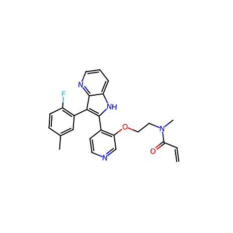 C=CC(=O)N(C)CCOc1cnccc1-c1[nH]c2cccnc2c1-c1cc(C)ccc1F